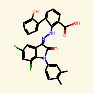 Cc1ccc(N2C(=O)C(=NNc3c(C(=O)O)cccc3-c3ccccc3O)c3cc(F)cc(F)c32)cc1C